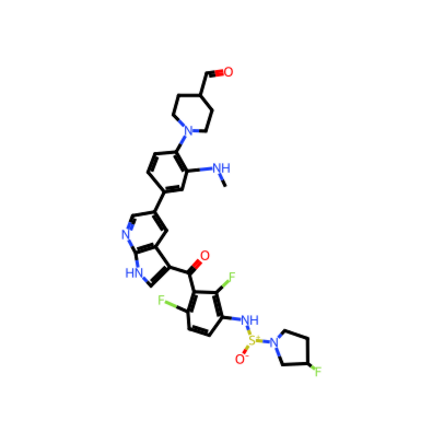 CNc1cc(-c2cnc3[nH]cc(C(=O)c4c(F)ccc(N[S+]([O-])N5CCC(F)C5)c4F)c3c2)ccc1N1CCC(C=O)CC1